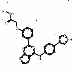 CC(C)NC(=O)COc1cccc(-c2nc(Nc3ccc(-c4cn[nH]c4)cc3)c3ccsc3n2)c1